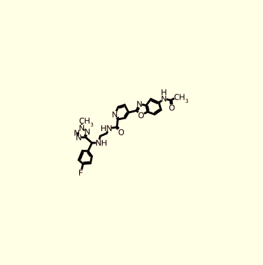 CC(=O)Nc1ccc2oc(-c3ccnc(C(=O)NCCNC(c4ccc(F)cc4)c4nnn(C)n4)c3)nc2c1